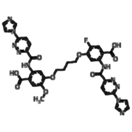 COc1cc(C(=O)O)c(NC(=O)c2ccc(-n3ccnc3)nn2)cc1OCCCCOc1cc(NC(=O)c2ccc(-n3ccnc3)nn2)c(C(=O)O)cc1F